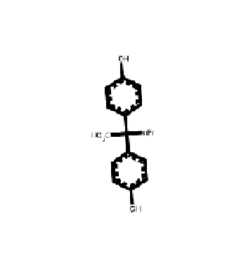 CCCC(C(=O)O)(c1ccc(O)cc1)c1ccc(O)cc1